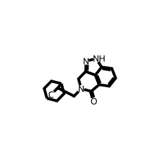 O=C1c2cccc3[nH]nc(c23)CN1CC1CC2CCC1CC2